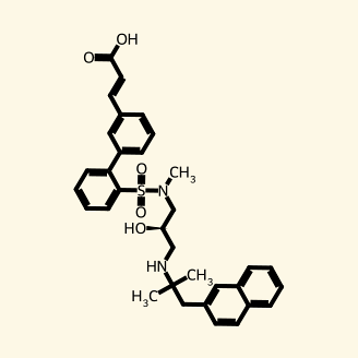 CN(C[C@H](O)CNC(C)(C)Cc1ccc2ccccc2c1)S(=O)(=O)c1ccccc1-c1cccc(C=CC(=O)O)c1